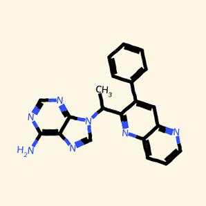 CC(c1nc2cccnc2cc1-c1ccccc1)n1cnc2c(N)ncnc21